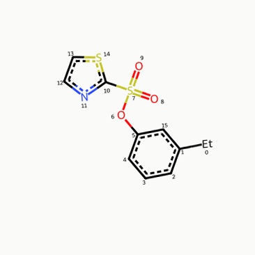 CCc1cccc(OS(=O)(=O)c2nccs2)c1